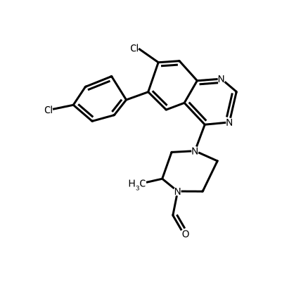 CC1CN(c2ncnc3cc(Cl)c(-c4ccc(Cl)cc4)cc23)CCN1C=O